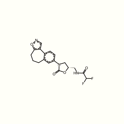 O=C(NC[C@H]1CN(c2ccc3c(c2)CCCc2oncc2-3)C(=O)O1)C(F)F